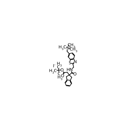 CC(C)(C)OC(=O)CC1(C(=O)NCc2nc3ccc(C[N+](C)(C)C)cc3s2)Cc2ccccc2C1.[I-]